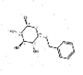 CC[C@H]1O[C@H](OCc2ccccc2)[C@H](O)[C@@H](O)[C@@H]1O